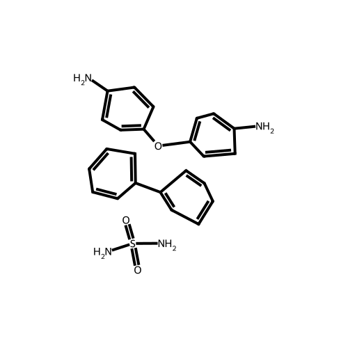 NS(N)(=O)=O.Nc1ccc(Oc2ccc(N)cc2)cc1.c1ccc(-c2ccccc2)cc1